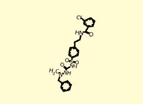 CN(Cc1ccccc1)NC(=O)NS(=O)(=O)c1ccc(CCNC(=O)c2cccc(Cl)c2)cc1